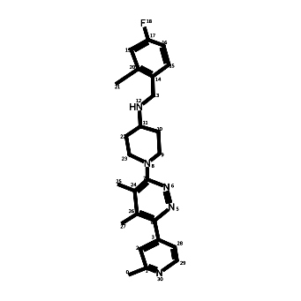 Cc1cc(-c2nnc(N3CCC(NCc4ccc(F)cc4C)CC3)c(C)c2C)ccn1